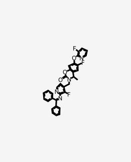 CC1c2cc(F)c(Oc3ncccc3F)cc2OC(=O)N1Cc1ccnc(N=C(c2ccccc2)c2ccccc2)c1F